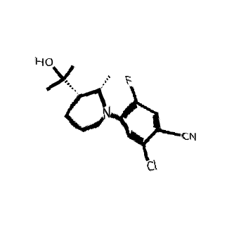 C[C@H]1[C@@H](C(C)(C)O)CCN1c1cc(Cl)c(C#N)cc1F